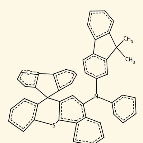 CC1(C)c2ccccc2-c2ccc(N(c3ccccc3)c3cc4c(c5ccccc35)Sc3ccccc3C43c4ccccc4-c4ccccc43)cc21